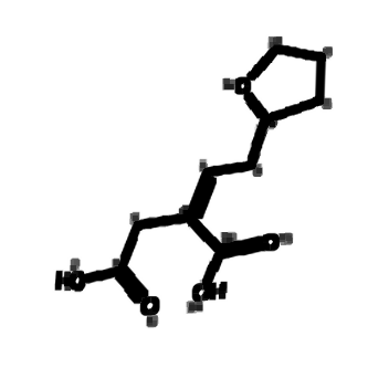 O=C(O)CC(=CCC1CCCO1)C(=O)O